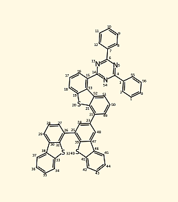 c1ccc(-c2nc(-c3ccccc3)nc(-c3cccc4sc5c(-c6cc(-c7cccc8c7sc7ccccc78)c7sc8ccccc8c7c6)cccc5c34)n2)cc1